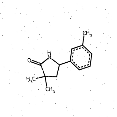 Cc1cccc(C2CC(C)(C)C(=O)N2)c1